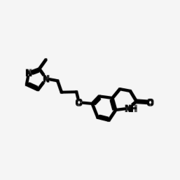 Cc1nccn1CCCOc1ccc2c(c1)CCC(=O)N2